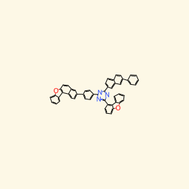 c1ccc(-c2ccc3ccc(-c4nc(-c5ccc(-c6ccc7c(ccc8oc9ccccc9c87)c6)cc5)nc(-c5cccc6oc7ccccc7c56)n4)cc3c2)cc1